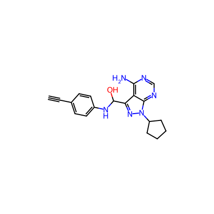 C#Cc1ccc(NC(O)c2nn(C3CCCC3)c3ncnc(N)c23)cc1